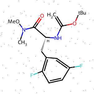 C=C(N[C@H](Cc1cc(F)ccc1F)C(=O)N(C)OC)OC(C)(C)C